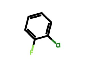 Fc1ccccc1Cl